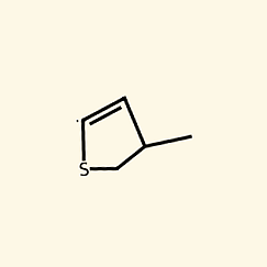 CC1C=[C]SC1